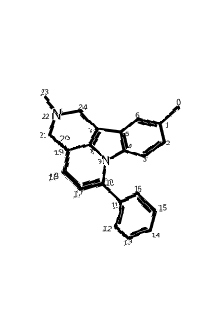 Cc1ccc2c(c1)c1c3n2C(c2ccccc2)=CCC3(C)CN(C)C1